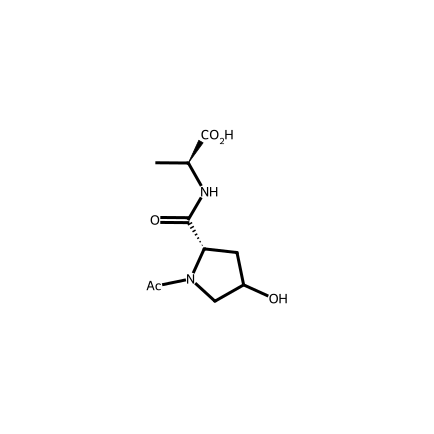 CC(=O)N1CC(O)C[C@H]1C(=O)N[C@@H](C)C(=O)O